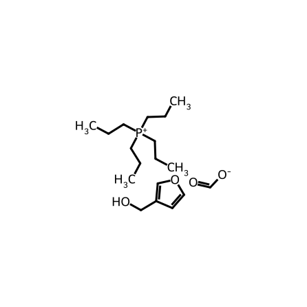 CCC[P+](CCC)(CCC)CCC.O=C[O-].OCc1ccoc1